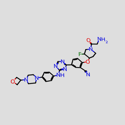 N#Cc1cc(-c2ncnc(Nc3ccc(N4CCN(C5COC5)CC4)cc3)n2)ccc1OC1CCN(C(=O)CN)CC1F